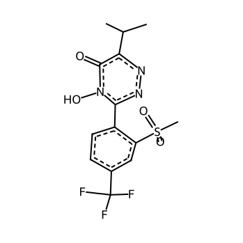 CC(C)c1nnc(-c2ccc(C(F)(F)F)cc2S(C)(=O)=O)n(O)c1=O